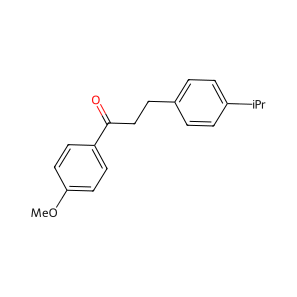 COc1ccc(C(=O)CCc2ccc(C(C)C)cc2)cc1